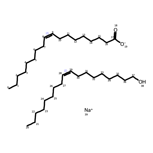 CCCCCCCC/C=C\CCCCCCCC(=O)[O-].CCCCCCCC/C=C\CCCCCCCCO.[Na+]